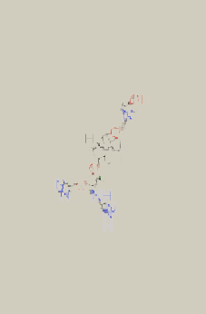 Cc1c(COc2cc(OCc3cncnc3)c(CNCc3cn[nH]c3)cc2Cl)cccc1-c1cccc(OCCCN2CCC(O)C2)c1C